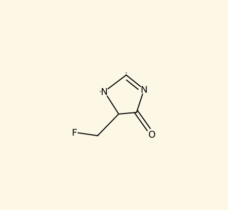 O=C1N=[C][N]C1CF